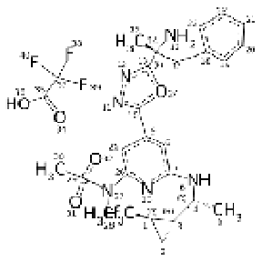 C[C@@H]1C[C@H]1[C@@H](C)Nc1cc(-c2nnc([C@](C)(N)Cc3ccccc3)o2)cc(N(C)S(C)(=O)=O)n1.O=C(O)C(F)(F)F